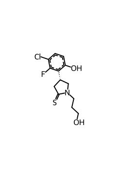 OCCCN1C[C@@H](c2c(O)ccc(Cl)c2F)CC1=S